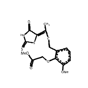 COC(=O)COc1c(CCC(C)=C2SC(=S)NC2=O)cccc1OC